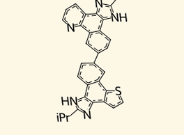 Cc1nc2c3cccnc3c3cc(-c4ccc5c(c4)c4sccc4c4nc(C(C)C)[nH]c54)ccc3c2[nH]1